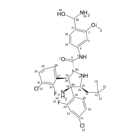 COc1cc(NC(=O)[C@@H]2N[C@@H](CC(C)(C)C)[C@](N)(c3ccc(Cl)cc3F)[C@H]2c2cccc(Cl)c2F)ccc1C(N)O